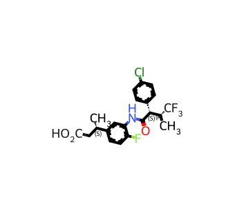 C[C@H]([C@H](C(=O)Nc1cc([C@@H](C)CC(=O)O)ccc1F)c1ccc(Cl)cc1)C(F)(F)F